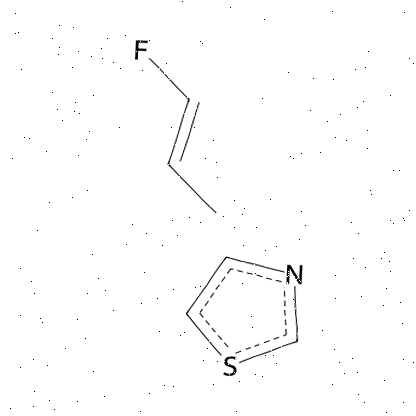 C/C=C/F.c1cscn1